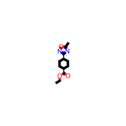 CCOC(=O)[C@H]1CC[C@@H](c2noc(C)n2)CC1